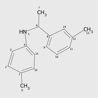 Cc1ccc(NC(C)c2cccc(C)c2)cc1